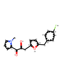 Cn1cccc1C(=O)C(=O)Cc1ccc(Cc2ccc(F)cc2)o1